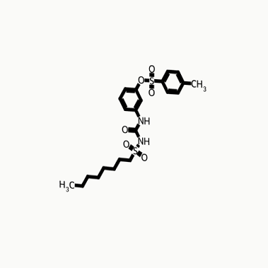 CCCCCCCCS(=O)(=O)NC(=O)Nc1cccc(OS(=O)(=O)c2ccc(C)cc2)c1